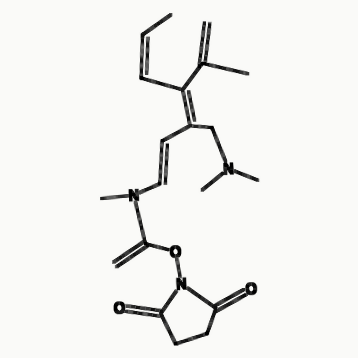 C=C(C)C(/C=C\C)=C(/C=C/N(C)C(=C)ON1C(=O)CCC1=O)CN(C)C